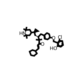 CC1(C)CC(C2(C[C@@H](CC3=CCC(OCc4c(O)cccc4Cl)CC3)C(C)(C)C(=O)/C=C/C3CCCCC3)CC2)CC(C)(C)N1